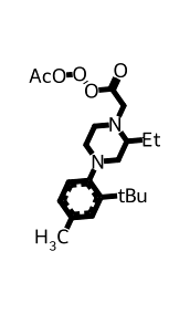 CCC1CN(c2ccc(C)cc2C(C)(C)C)CCN1CC(=O)OOOC(C)=O